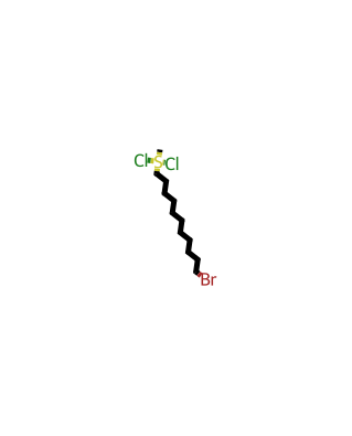 CS(Cl)(Cl)CCCCCCCCCCCBr